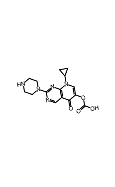 O=C(O)Oc1cn(C2CC2)c2nc(N3CCNCC3)ncc2c1=O